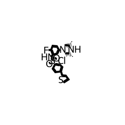 C[C@@H]1CN(c2ccc(F)c(NS(=O)(=O)c3ccc(-c4cccs4)cc3Cl)c2)C[C@H](C)N1